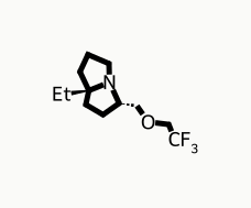 CC[C@@]12CCCN1[C@H](COCC(F)(F)F)CC2